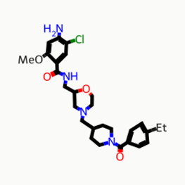 CCc1ccc(C(=O)N2CCC(CN3CCOC(CNC(=O)c4cc(Cl)c(N)cc4OC)C3)CC2)cc1